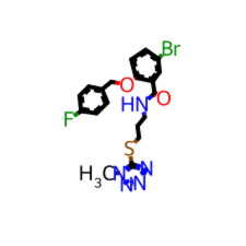 Cn1nnnc1SCCCNC(=O)c1cc(Br)ccc1OCc1ccc(F)cc1